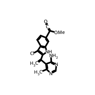 C=C(c1[nH]c2cc(C(=C=O)OC)ccc2c1Cl)c1c(C)ncnc1N